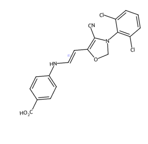 N#CC1=C(/C=C/Nc2ccc(C(=O)O)cc2)OCN1c1c(Cl)cccc1Cl